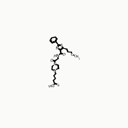 COCCCc1sc(-c2ccccc2)nc1C(=O)NCC(=O)N1CCN(CCCCC(=O)O)CC1